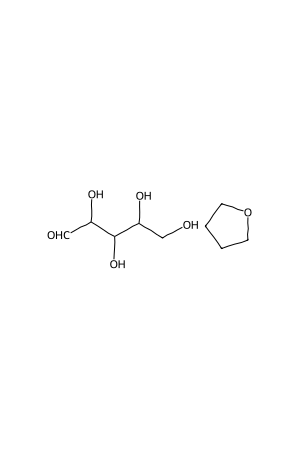 C1CCOC1.O=CC(O)C(O)C(O)CO